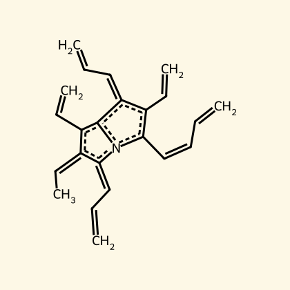 C=C/C=C\c1c(C=C)/c(=C/C=C)c2c(C=C)c(=C/C)/c(=C\C=C)n12